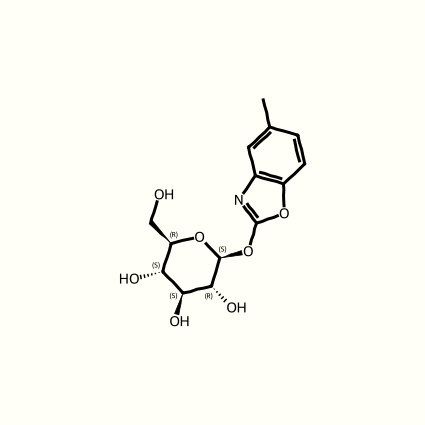 Cc1ccc2oc(O[C@@H]3O[C@H](CO)[C@@H](O)[C@H](O)[C@H]3O)nc2c1